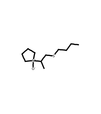 CCCCSCC(C)[N+]1([O-])CCCC1